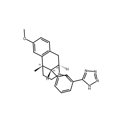 COc1ccc2c(c1)[C@@]1(C)CCN(C)[C@H](C2)[C@@H]1c1cccc(-c2nnn[nH]2)c1